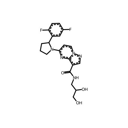 O=C(NCC(O)CO)c1cnn2ccc(N3CCCC3c3cc(F)ccc3F)nc12